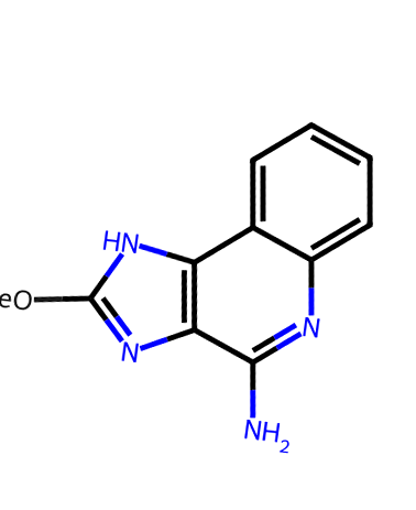 COc1nc2c(N)nc3ccccc3c2[nH]1